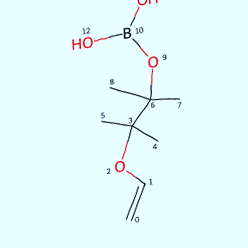 C=COC(C)(C)C(C)(C)OB(O)O